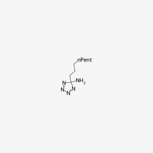 CCCCCCCCC1(N)N=NN=N1